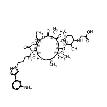 CC[C@H]1OC(=O)[C@H](C)C(=O)[C@H](C)[C@@H](O[C@@H]2O[C@H](C)CC(NCC(=O)O)C2O)[C@](C)(OC)C[C@@H](C)CN[C@H](C)[C@H]2N(CCCCn3cc(-c4cccc(N)c4)nn3)C(=O)O[C@]12C